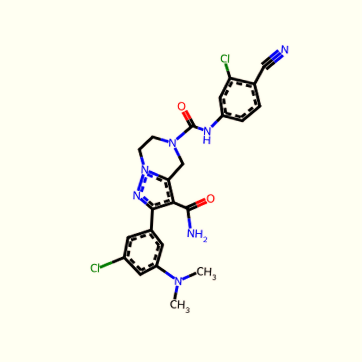 CN(C)c1cc(Cl)cc(-c2nn3c(c2C(N)=O)CN(C(=O)Nc2ccc(C#N)c(Cl)c2)CC3)c1